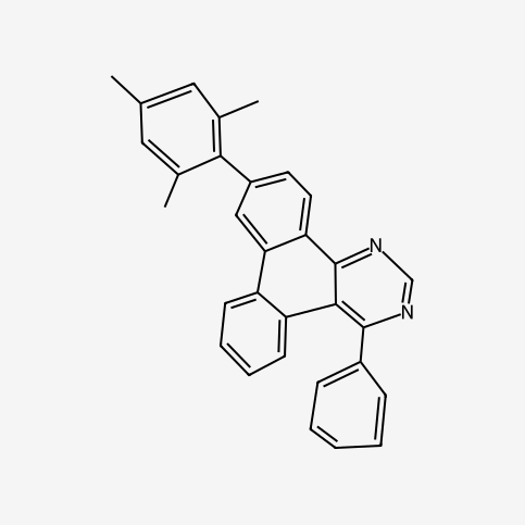 Cc1cc(C)c(-c2ccc3c(c2)c2ccccc2c2c(-c4ccccc4)ncnc32)c(C)c1